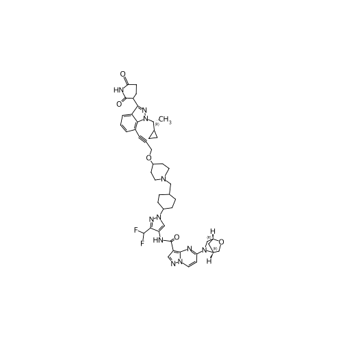 C[C@H](C1CC1)n1nc(C2CCC(=O)NC2=O)c2cccc(C#CCOC3CCN(CC4CCC(n5cc(NC(=O)c6cnn7ccc(N8C[C@H]9C[C@@H]8CO9)nc67)c(C(F)F)n5)CC4)CC3)c21